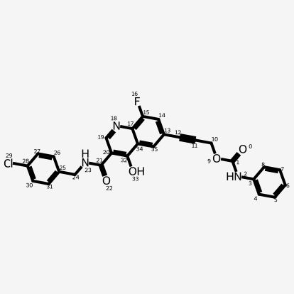 O=C(Nc1ccccc1)OCC#Cc1cc(F)c2ncc(C(=O)NCc3ccc(Cl)cc3)c(O)c2c1